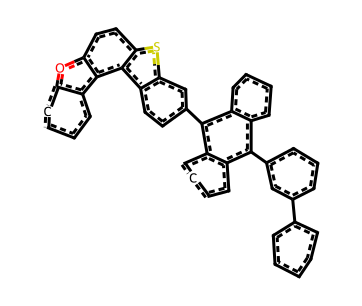 c1ccc(-c2cccc(-c3c4ccccc4c(-c4ccc5c(c4)sc4ccc6oc7ccccc7c6c45)c4ccccc34)c2)cc1